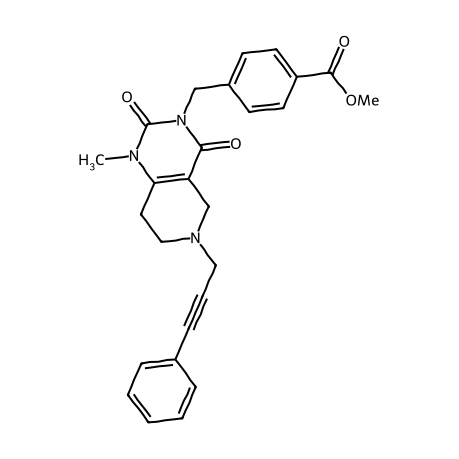 COC(=O)c1ccc(Cn2c(=O)c3c(n(C)c2=O)CCN(CC#Cc2ccccc2)C3)cc1